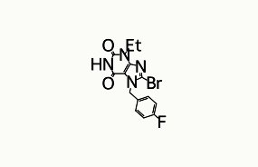 CCn1c(=O)[nH]c(=O)c2c1nc(Br)n2Cc1ccc(F)cc1